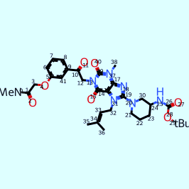 CNC(=O)COc1cccc(C(=O)Cn2c(=O)c3c(nc(N4CCCC(NC(=O)OC(C)(C)C)C4)n3CC=C(C)C)n(C)c2=O)c1